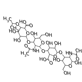 CC(=O)NC1C(O)OC(CO)C(O)C1OC1OC(C(=O)O)C(OC2OC(CO)C(O)C(OC3OC(C(=O)O)C(OC(C)C)C(O)C3O)C2NC(C)=O)C(O)C1O